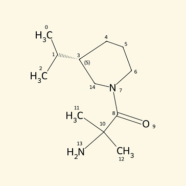 CC(C)[C@@H]1CCCN(C(=O)C(C)(C)N)C1